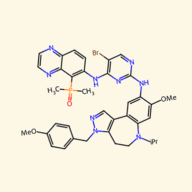 COc1ccc(Cn2ncc3c2CCN(C(C)C)c2cc(OC)c(Nc4ncc(Br)c(Nc5ccc6nccnc6c5P(C)(C)=O)n4)cc2-3)cc1